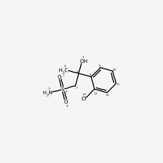 CC(O)(CS(N)(=O)=O)c1ccccc1Cl